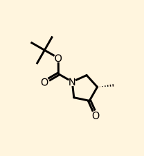 C[C@H]1CN(C(=O)OC(C)(C)C)CC1=O